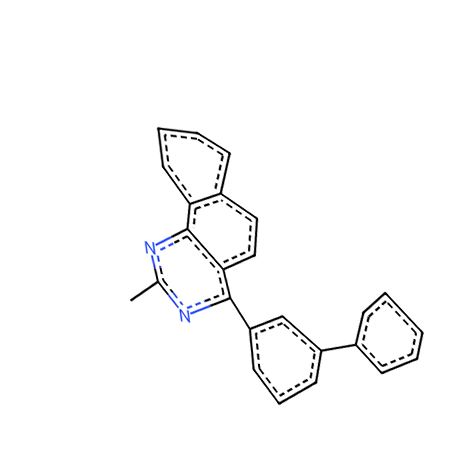 Cc1nc(-c2cccc(-c3ccccc3)c2)c2ccc3ccccc3c2n1